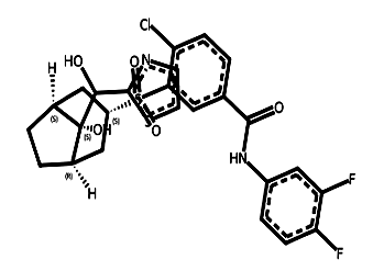 O=C(Nc1ccc(F)c(F)c1)c1ccc(Cl)c(S(=O)(=O)[C@@H]2C[C@H]3CC[C@@H](C2)[C@@]3(O)C(O)c2nccs2)c1